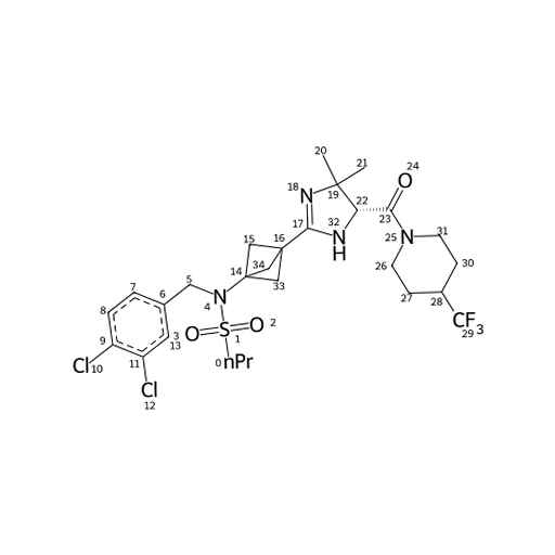 CCCS(=O)(=O)N(Cc1ccc(Cl)c(Cl)c1)C12CC(C3=NC(C)(C)[C@H](C(=O)N4CCC(C(F)(F)F)CC4)N3)(C1)C2